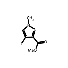 COC(=O)c1nn(C)cc1I